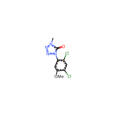 COc1cc(-n2nnn(C)c2=O)c(Cl)cc1Cl